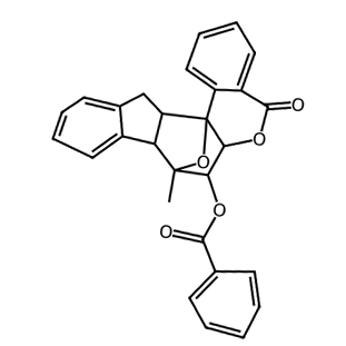 CC12OC3(c4ccccc4C(=O)OC3C1OC(=O)c1ccccc1)C1Cc3ccccc3C12